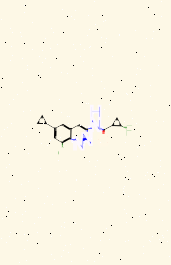 O=C(Nc1cc2cc(C3CC3)cc(Cl)c2nn1)C1CC1F